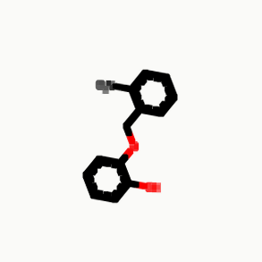 O=[N+]([O-])c1ccccc1COc1ccccc1O